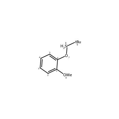 COc1ccccc1O[SiH2]C(C)(C)C